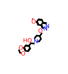 COc1ccc2cnnc(OCC3CCN(CC(O)c4ccc5c(c4)OCCO5)CC3)c2c1